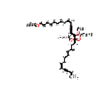 C=CC#C/C=C\CCCCCCCC(OCCCCC)(OCCCCC)C(=CC#C/C=C\CCCCCCCCOCCCC)OCCCC